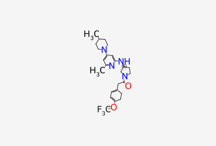 Cc1cc(N2CCC(C)CC2)cc(N[C@H]2CCN(C(=O)CC3=CC=C(OC(F)(F)F)CC3)C2)n1